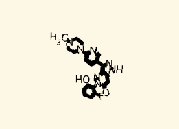 CN1CCN(c2ccc(-c3n[nH]c4cc(=O)n(-c5c(O)cccc5F)nc34)cn2)CC1